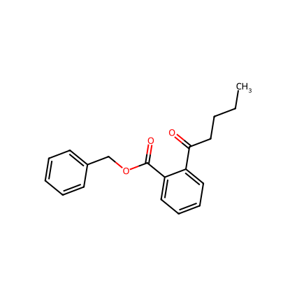 CCCCC(=O)c1ccccc1C(=O)OCc1ccccc1